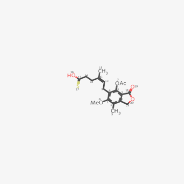 COc1c(C)c2c(c(OC(C)=O)c1CC=C(C)CCC(O)=S)C(=O)OC2